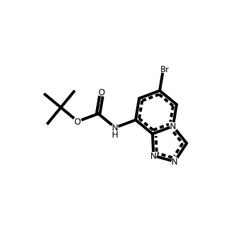 CC(C)(C)OC(=O)Nc1cc(Br)cn2cnnc12